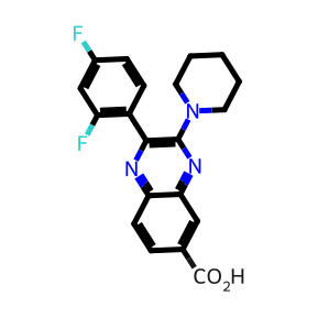 O=C(O)c1ccc2nc(-c3ccc(F)cc3F)c(N3CCCCC3)nc2c1